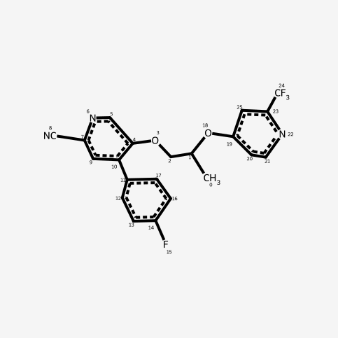 CC(COc1cnc(C#N)cc1-c1ccc(F)cc1)Oc1ccnc(C(F)(F)F)c1